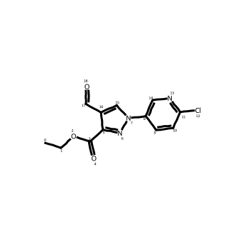 CCOC(=O)c1nn(-c2ccc(Cl)nc2)cc1C=O